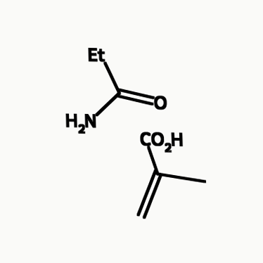 C=C(C)C(=O)O.CCC(N)=O